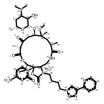 CC[C@H]1OC(=O)[C@H](C)C(=O)C[C@@H](O[C@@H]2O[C@H](C)CC(N(C)C)C2O)[C@](C)(OC)C[C@@H](C)C(=O)N[C@H](C)[C@H]2N(CCCCn3cc(-c4ccccn4)nn3)C(=O)O[C@]12n1ccc(N)nc1=O